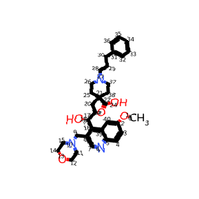 COc1ccc2ncc(CN3CCOCC3)c([C@H](O)CCC3(C(=O)O)CCN(CCCc4ccccc4)CC3)c2c1